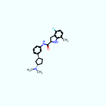 Cc1ccc(F)c2c1NC(C(=O)Nc1cccc([C@H]3CC[C@H](N(C)C)C3)c1)C2